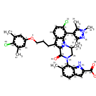 Cc1cc(OCCCc2c3n(c4c(-c5c(C)nn(C)c5C)c(Cl)ccc24)C(C)CN(c2c(C)ccc4cc(C(=O)O)[nH]c24)C3=O)cc(C)c1Cl